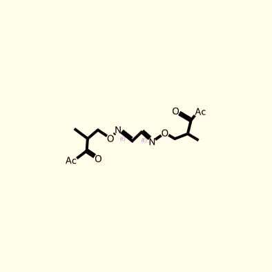 CC(=O)C(=O)C(C)CO/N=C/C=N/OCC(C)C(=O)C(C)=O